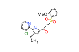 C/C=C1\C=C(C(=O)CCS(=O)(=O)c2ccccc2OC)N=C1c1ncccc1Cl